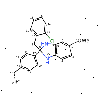 COc1ccc2c(c1)NC(Cc1ccccc1Cl)(c1ccc(CC(C)C)cc1)N2